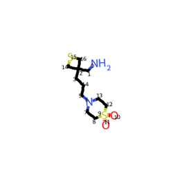 NCC1(C[CH]CN2CCS(=O)(=O)CC2)CSC1